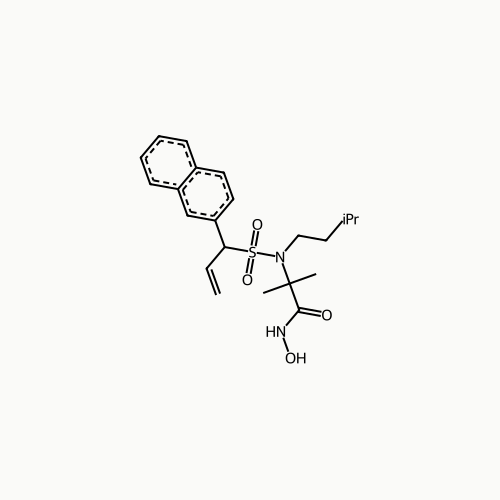 C=CC(c1ccc2ccccc2c1)S(=O)(=O)N(CCC(C)C)C(C)(C)C(=O)NO